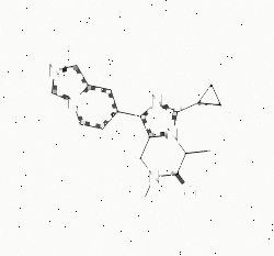 CC1C(=O)N(C)Cc2c(-c3ccn4cncc4c3)nc(C3CC3)n21